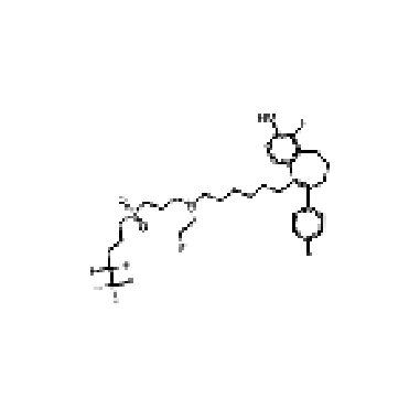 O=S(=O)(CCCN(CCF)CCCCCCC1=C(c2ccc(F)cc2)CCCc2c1ccc(O)c2F)CCCC(F)(F)C(F)(F)F